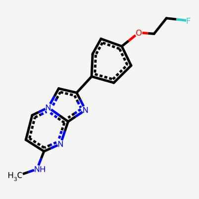 CNc1ccn2cc(-c3ccc(OCCF)cc3)nc2n1